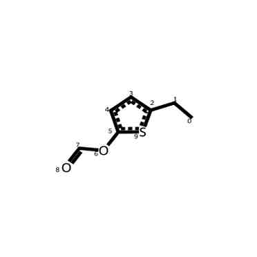 CCc1ccc(OC=O)s1